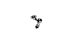 CC1(C)O[C@H](CCOS(C)(=O)=O)[C@@H](CO[Si](C)(C)C(C)(C)C)O1